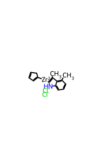 Cc1cccc2[nH][c]([Zr+2][C]3=CC=CC3)c(C)c12.[Cl-].[Cl-]